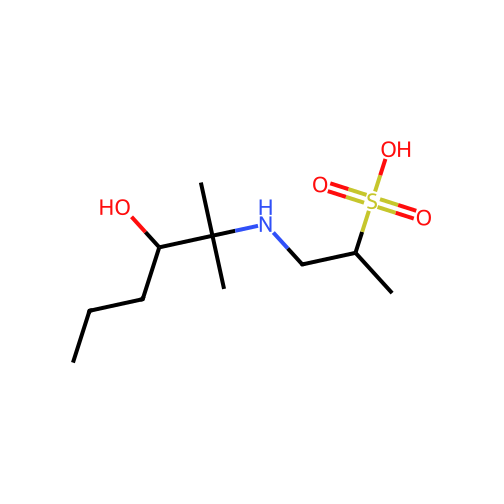 CCCC(O)C(C)(C)NCC(C)S(=O)(=O)O